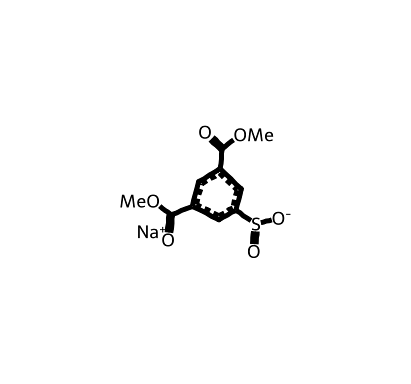 COC(=O)c1cc(C(=O)OC)cc(S(=O)[O-])c1.[Na+]